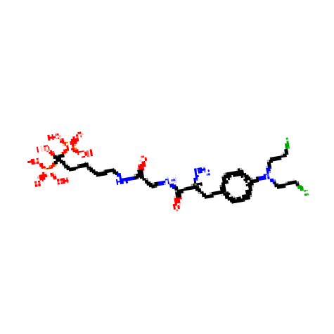 N[C@@H](Cc1ccc(N(CCCl)CCCl)cc1)C(=O)NCC(=O)NCCCCC(O)(P(=O)(O)O)P(=O)(O)O